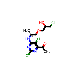 CC(=O)c1nc(Cl)nc(N[C@H](C)COCC(O)CCl)c1Cl